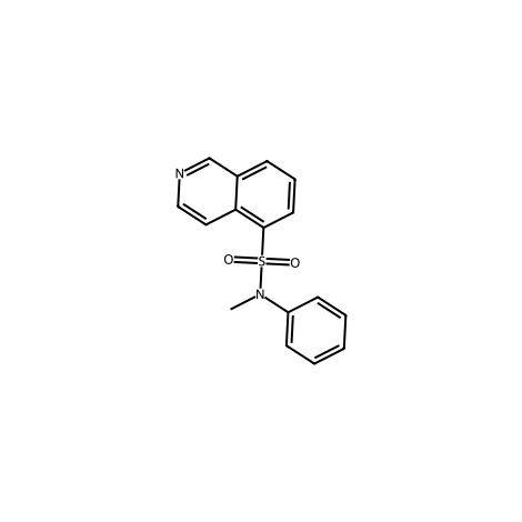 CN(c1ccccc1)S(=O)(=O)c1cccc2cnccc12